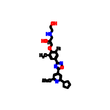 CCc1cc(-c2noc(-c3cc(OC)nc(C4CCCC4)c3)n2)cc(C)c1OC[C@@H](O)CNCCO